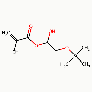 C=C(C)C(=O)OC(O)CO[Si](C)(C)C